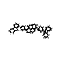 c1ccc2c(c1)Cc1c(-c3ccc(-c4ccc5ccc6c(-c7ccc(-n8c9ccccc9c9ccccc98)cc7)ccc7ccc4c5c76)cc3)cccc1-2